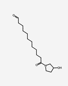 O=CCCCCCCCCCCC(=O)N1CCC(O)C1